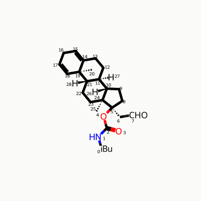 CCC(C)NC(=O)O[C@]1(CC=O)CC[C@H]2[C@@H]3CCC4=CCC=C[C@]4(C)[C@H]3CC[C@@]21C